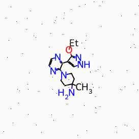 CCOc1n[nH]cc1-c1nccnc1N1CCC(C)(N)CC1